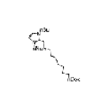 CCCCCCCCCCCCCCCCCCCC1N(CCCC)C=CN1CCCCCCCCC